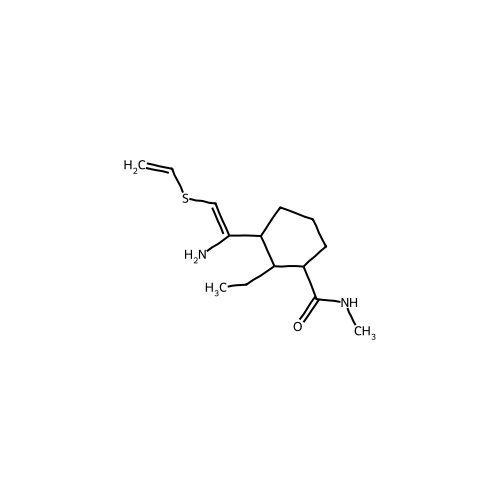 C=CS/C=C(\N)C1CCCC(C(=O)NC)C1CC